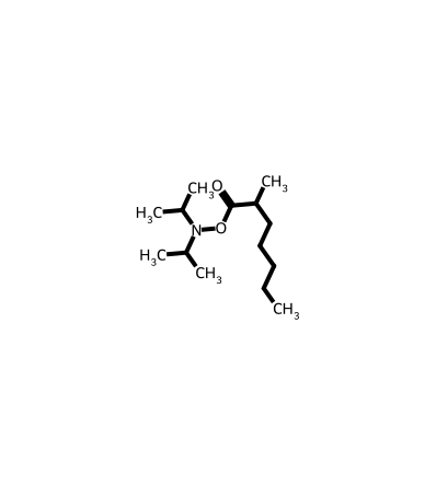 CCCCCC(C)C(=O)ON(C(C)C)C(C)C